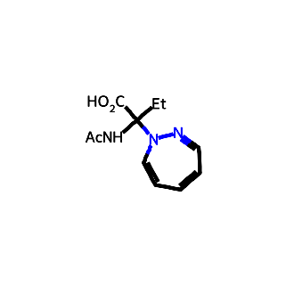 CCC(NC(C)=O)(C(=O)O)N1C=CC=CC=N1